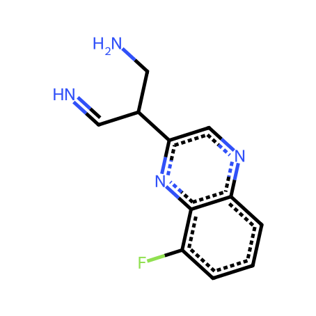 N=CC(CN)c1cnc2cccc(F)c2n1